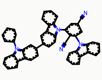 N#Cc1cc(-n2c3ccccc3c3ccccc32)c(C#N)c(-n2c3ccccc3c3cc(-c4ccc5c6ccccc6n(-c6ccccc6)c5c4)ccc32)c1